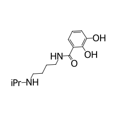 CC(C)NCCCCNC(=O)c1cccc(O)c1O